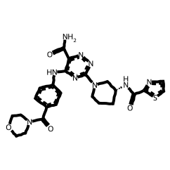 NC(=O)c1nnc(N2CCC[C@@H](NC(=O)c3nccs3)C2)nc1Nc1ccc(C(=O)N2CCOCC2)cc1